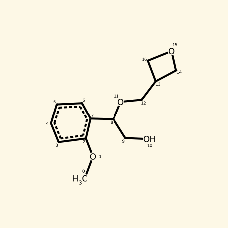 COc1ccccc1C(CO)OCC1COC1